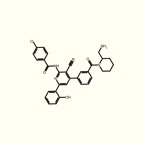 N#Cc1c(-c2cccc(C(=O)N3CCCCC3CN)c2)cc(-c2ccccc2O)nc1NC(=O)c1ccc(Cl)cc1